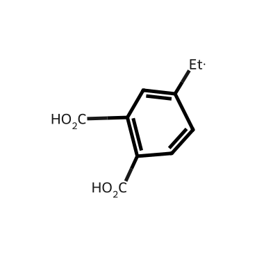 C[CH]c1ccc(C(=O)O)c(C(=O)O)c1